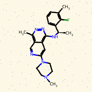 Cc1cccc([C@@H](C)Nc2nnc(C)c3cnc(N4CCN(C)CC4)cc23)c1F